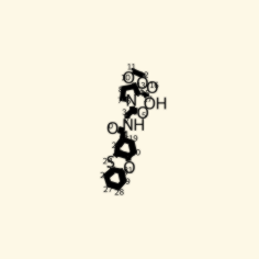 O=C(NCC(=O)N1CCC2(OCCO2)[C@H]1C(=O)O)c1ccc2c(c1)Sc1ccccc1O2